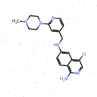 CN1CCN(c2cc(CNc3ccc4c(N)ncc(Cl)c4c3)ccn2)CC1